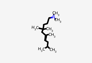 C/C(=C\CC(C)C)CC(C)(C)CCCN(C)C